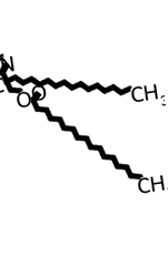 CCCCCCCCCCCCCCCCCC(=O)OCCC(C)(CCCCCCCCCCCCCCCC)C1=NCCN1